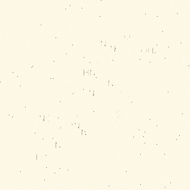 CCSN1CC(CC#N)(n2cc(-c3nc(Nc4cnn(C(=O)CO)c4)nc4ccsc34)cn2)C1